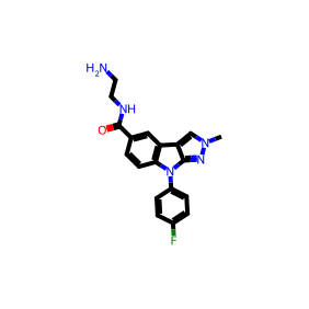 Cn1cc2c3cc(C(=O)NCCN)ccc3n(-c3ccc(F)cc3)c2n1